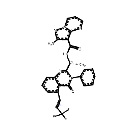 C[C@@H](NC(=O)c1c(N)nn2cccnc12)c1nc2cccc(/C=C/C(F)(F)F)c2c(=O)n1-c1ccccc1